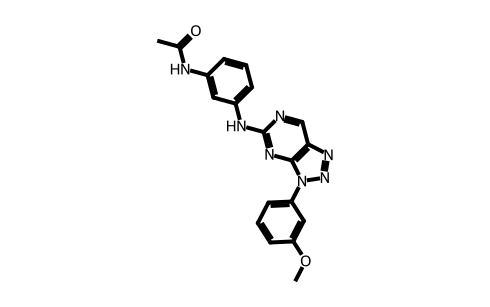 COc1cccc(-n2nnc3cnc(Nc4cccc(NC(C)=O)c4)nc32)c1